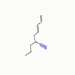 C=CC=CCC(C#N)CCC